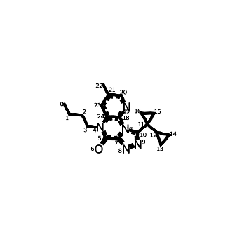 CCCCn1c(=O)c2nnc(C3(C4CC4)CC3)n2c2ncc(C)cc21